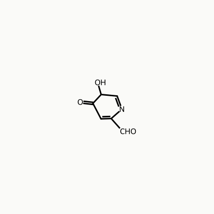 O=CC1=CC(=O)C(O)C=N1